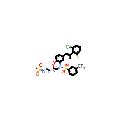 CC(=Cc1ccc2c(c1)N(S(=O)(=O)c1cccc(C(F)(F)F)c1)C[C@H](CCNS(C)(=O)=O)O2)c1c(F)cccc1Cl